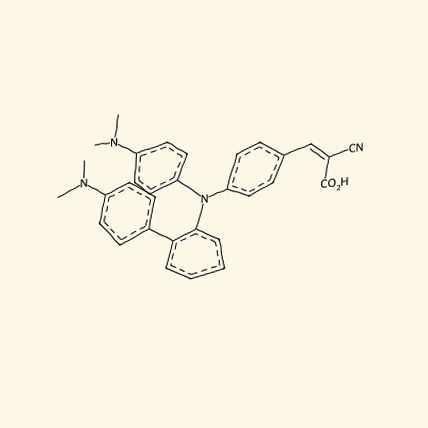 CN(C)c1ccc(-c2ccccc2N(c2ccc(C=C(C#N)C(=O)O)cc2)c2ccc(N(C)C)cc2)cc1